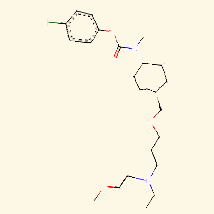 CCN(CCCOC[C@H]1CC[C@H](N(C)C(=O)Oc2ccc(Cl)cc2)CC1)CCOC